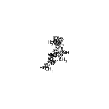 CCOc1nc2[nH]cc(F)c2cc1Oc1cc(N2CCC3(CC2)CC(N2CCOC[C@@]2(C)c2ccccc2C(C)C)C3)ccc1C(=O)NS(=O)(=O)c1cnc(NCC2CCC(C)(O)CC2)c([N+](=O)[O-])c1